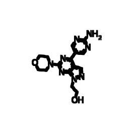 Nc1ncc(-c2nc(N3CCOCC3)nc3c2cnn3CCO)cn1